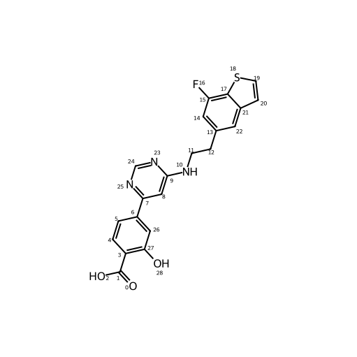 O=C(O)c1ccc(-c2cc(NCCc3cc(F)c4sccc4c3)ncn2)cc1O